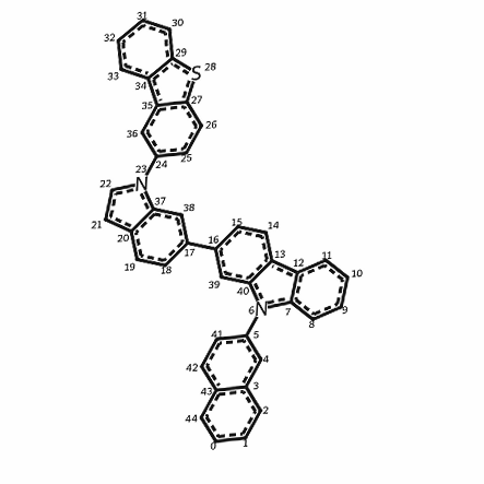 c1ccc2cc(-n3c4ccccc4c4ccc(-c5ccc6ccn(-c7ccc8sc9ccccc9c8c7)c6c5)cc43)ccc2c1